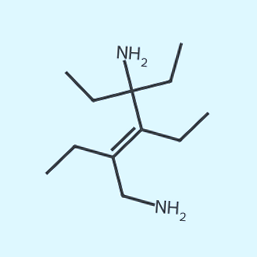 CCC(CN)=C(CC)C(N)(CC)CC